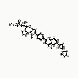 COC(=O)N[C@H](C(=O)N1CCC[C@H]1c1ncc(-c2ccc(-c3cc(C#N)c4cc(-c5cnc([C@@H]6CCCN6)[nH]5)ccc4n3)cc2)[nH]1)C(C)C